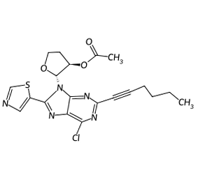 CCCCC#Cc1nc(Cl)c2nc(-c3cncs3)n([C@@H]3OCC[C@H]3OC(C)=O)c2n1